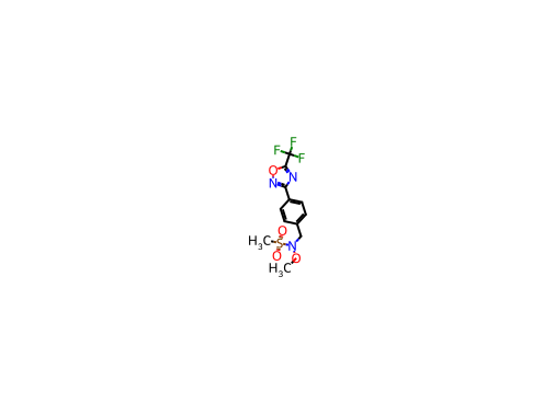 CON(Cc1ccc(-c2noc(C(F)(F)F)n2)cc1)S(C)(=O)=O